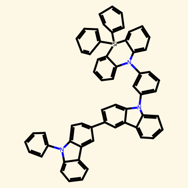 c1ccc(-n2c3ccccc3c3cc(-c4ccc5c(c4)c4ccccc4n5-c4cccc(N5c6ccccc6[Si](c6ccccc6)(c6ccccc6)c6ccccc65)c4)ccc32)cc1